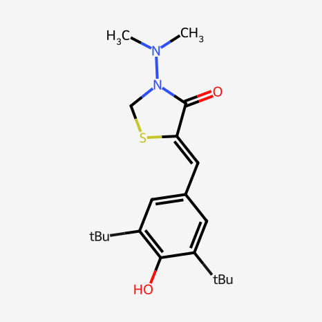 CN(C)N1CS/C(=C\c2cc(C(C)(C)C)c(O)c(C(C)(C)C)c2)C1=O